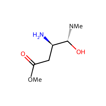 CN[C@H](O)[C@H](N)CC(=O)OC